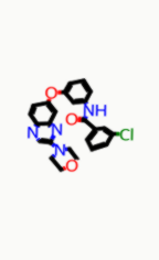 O=C(Nc1cccc(Oc2ccc3ncc(N4CCOCC4)nc3c2)c1)c1cccc(Cl)c1